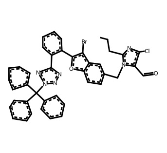 CCCc1nc(Cl)c(C=O)n1Cc1ccc2oc(-c3ccccc3-c3nnn(C(c4ccccc4)(c4ccccc4)c4ccccc4)n3)c(Br)c2c1